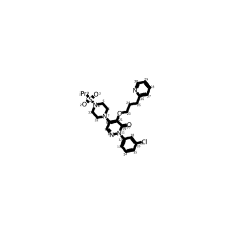 CC(C)S(=O)(=O)N1CCN(c2cnn(-c3cccc(Cl)c3)c(=O)c2OCCCc2ccccn2)CC1